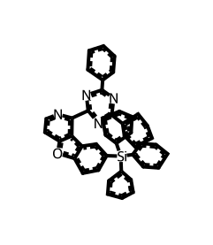 c1ccc(-c2nc(-c3ccccc3)nc(-c3nccc4oc5ccc([Si](c6ccccc6)(c6ccccc6)c6ccccc6)cc5c34)n2)cc1